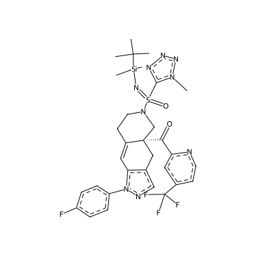 Cn1nnnc1S(=O)(=N[Si](C)(C)C(C)(C)C)N1CCC2=Cc3c(cnn3-c3ccc(F)cc3)C[C@]2(C(=O)c2cc(C(F)(F)F)ccn2)C1